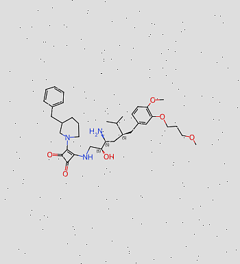 COCCCOc1cc(C[C@@H](C[C@H](N)[C@@H](O)CNc2c(N3CCCC(Cc4ccccc4)C3)c(=O)c2=O)C(C)C)ccc1OC